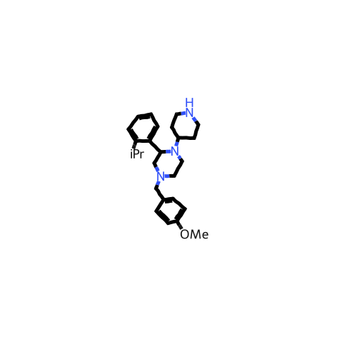 COc1ccc(CN2CCN(C3CCNCC3)C(c3ccccc3C(C)C)C2)cc1